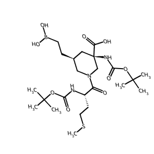 CSCC[C@H](NC(=O)OC(C)(C)C)C(=O)N1C[C@@H](CCB(O)O)C[C@](NC(=O)OC(C)(C)C)(C(=O)O)C1